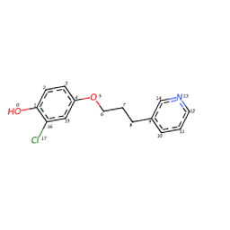 Oc1ccc(OCCCc2cccnc2)cc1Cl